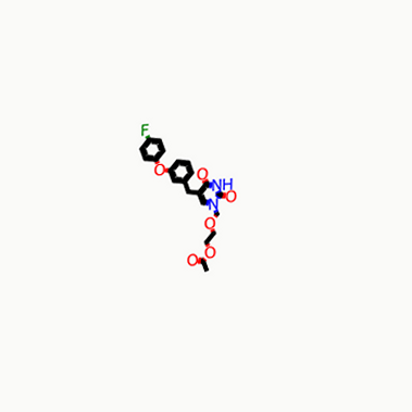 CC(=O)OCCOCn1cc(Cc2cccc(Oc3ccc(F)cc3)c2)c(=O)[nH]c1=O